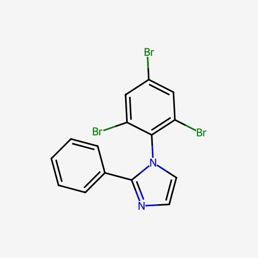 Brc1cc(Br)c(-n2ccnc2-c2ccccc2)c(Br)c1